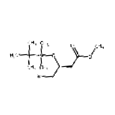 COC(=O)C[C@@H](CBr)O[Si](C)(C)C(C)(C)C